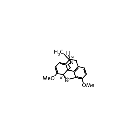 COC1=CC=C2[C@@H]3Cc4ccc(OC)c5c4C2(CCN3C)[C@@H]1O5